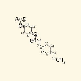 CCCC1CCC(CCC(=O)Oc2ccc(OC(F)F)cc2)CC1